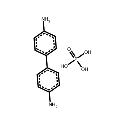 Nc1ccc(-c2ccc(N)cc2)cc1.O=P(O)(O)O